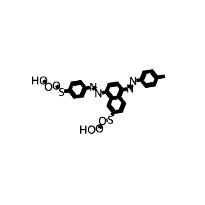 Cc1ccc(N=Nc2ccc(N=Nc3ccc(SOOO)cc3)c3cc(SOOO)ccc23)cc1